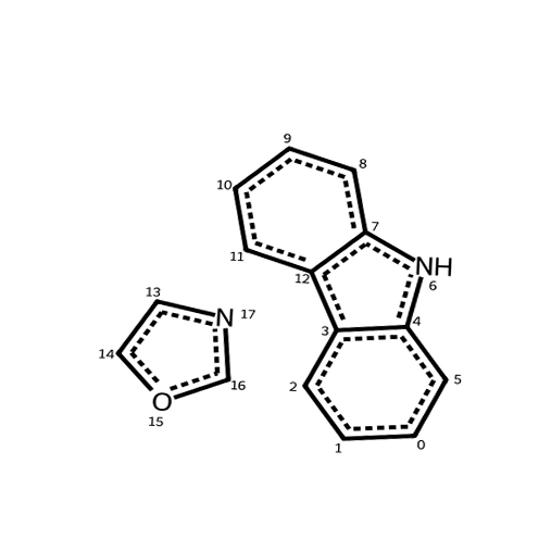 c1ccc2c(c1)[nH]c1ccccc12.c1cocn1